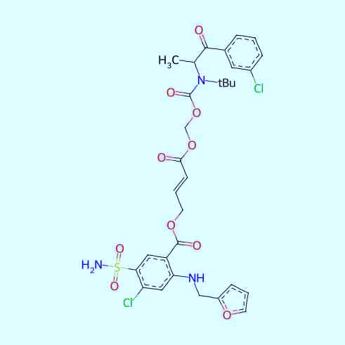 CC(C(=O)c1cccc(Cl)c1)N(C(=O)OCOC(=O)/C=C/COC(=O)c1cc(S(N)(=O)=O)c(Cl)cc1NCc1ccco1)C(C)(C)C